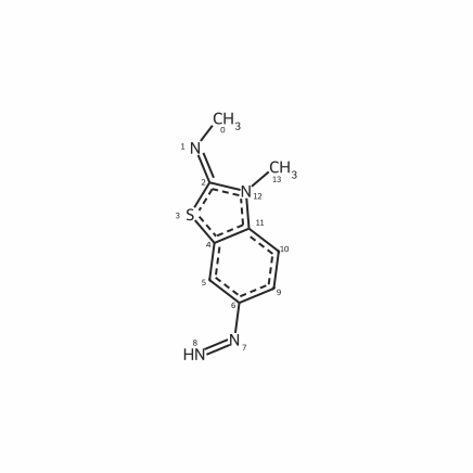 C/N=c1/sc2cc(N=N)ccc2n1C